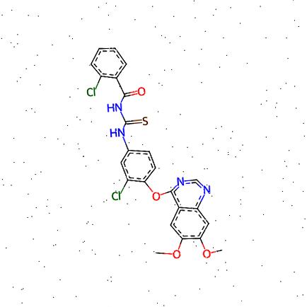 COc1cc2ncnc(Oc3ccc(NC(=S)NC(=O)c4ccccc4Cl)cc3Cl)c2cc1OC